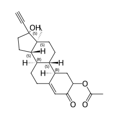 C#C[C@]1(O)CC[C@H]2[C@@H]3CCC4=CC(=O)C(OC(C)=O)C[C@@H]4[C@H]3CC[C@@]21CC